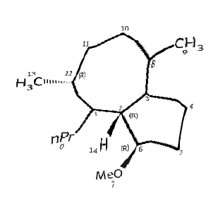 CCCC1[C@@H]2C(CC[C@H]2OC)C(C)CC[C@H]1C